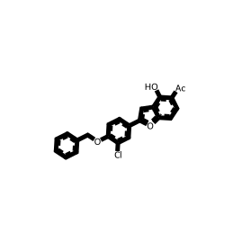 CC(=O)c1ccc2oc(-c3ccc(OCc4ccccc4)c(Cl)c3)cc2c1O